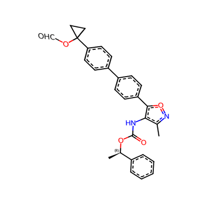 Cc1noc(-c2ccc(-c3ccc(C4(OC=O)CC4)cc3)cc2)c1NC(=O)O[C@H](C)c1ccccc1